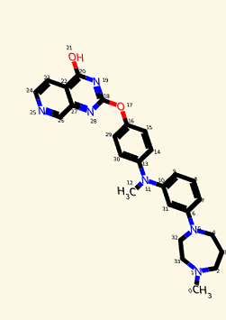 CN1CCCN(c2cccc(N(C)c3ccc(Oc4nc(O)c5ccncc5n4)cc3)c2)CC1